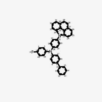 Fc1ccc(N(c2ccc(-c3ccccc3)cc2)c2ccc(-n3c4cccc5ccc6cccc3c6c54)cc2)cc1